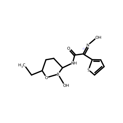 CCC1CCC(NC(=O)/C(=N/O)c2cccs2)B(O)O1